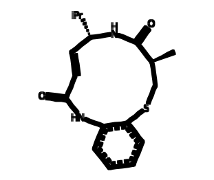 CC(C)[C@H]1/C=C/C(=O)Nc2ccccc2SC[C@H](C)C(=O)N1